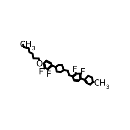 CCCCCCCOc1ccc(C2CCC(CCc3ccc(C4=CCC(C)CC4)c(F)c3F)CC2)c(F)c1F